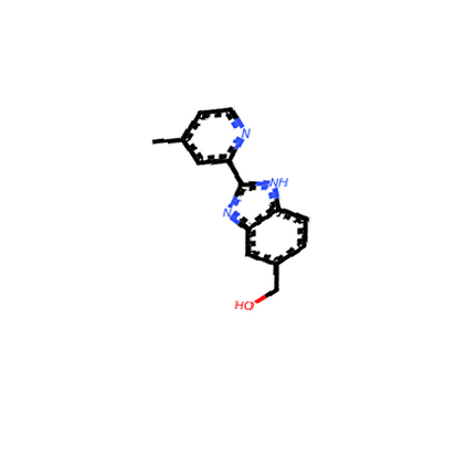 Cc1ccnc(-c2nc3cc(CO)ccc3[nH]2)c1